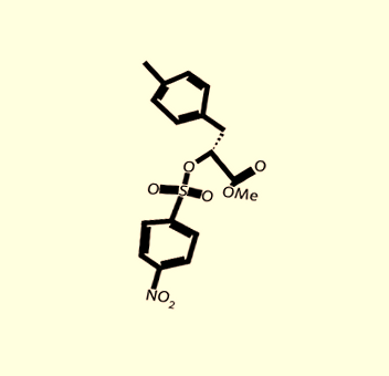 COC(=O)[C@@H](Cc1ccc(C)cc1)OS(=O)(=O)c1ccc([N+](=O)[O-])cc1